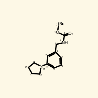 CC(C)(C)OC(=O)NCc1cccc(N2CCCC2)c1